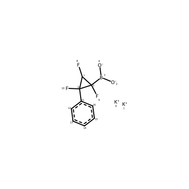 [K+].[K+].[O-]B([O-])C1(F)C(F)C1(F)c1ccccc1